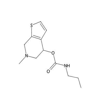 CCCNC(=O)OC1CN(C)Cc2sccc21